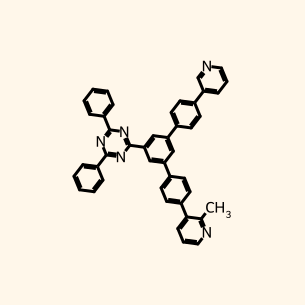 Cc1ncccc1-c1ccc(-c2cc(-c3ccc(-c4cccnc4)cc3)cc(-c3nc(-c4ccccc4)nc(-c4ccccc4)n3)c2)cc1